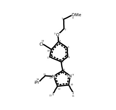 COCCOc1ccc(-c2nc(I)c(I)n2CC(C)C)cc1Cl